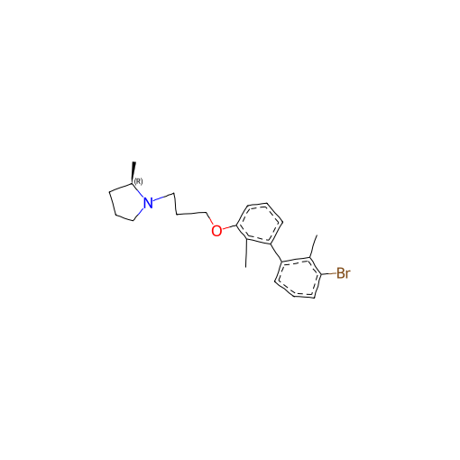 Cc1c(Br)cccc1-c1cccc(OCCCN2CCC[C@H]2C)c1C